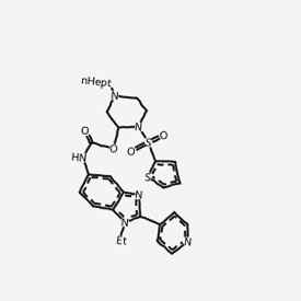 CCCCCCCN1CCN(S(=O)(=O)c2cccs2)C(OC(=O)Nc2ccc3c(c2)nc(-c2ccncc2)n3CC)C1